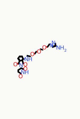 Nc1cnn(CCOCCOCCOCCNc2cccc3c2C(=O)N(C2CCC(=O)NC2=O)C3=O)c1